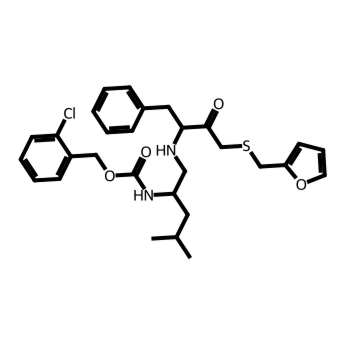 CC(C)CC(CNC(Cc1ccccc1)C(=O)CSCc1ccco1)NC(=O)OCc1ccccc1Cl